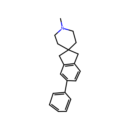 CN1CCC2(CC1)Cc1ccc(-c3ccccc3)cc1C2